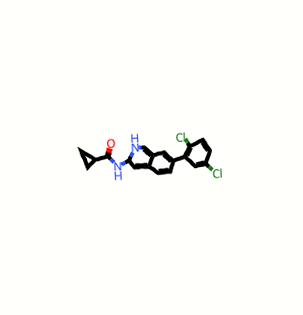 O=C(NC1C=c2ccc(-c3cc(Cl)ccc3Cl)cc2=CN1)C1CC1